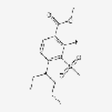 CCCC(CC)c1ccc(C(=O)OC)c(F)c1S(C)(=O)=O